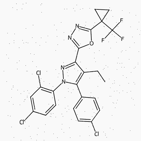 CCc1c(-c2nnc(C3(C(F)(F)F)CC3)o2)nn(-c2ccc(Cl)cc2Cl)c1-c1ccc(Cl)cc1